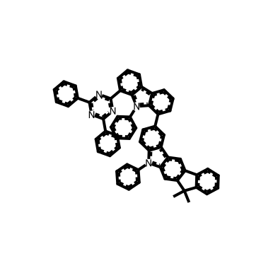 CC1(C)c2ccccc2-c2cc3c4cc(-c5cccc6c7cccc(-c8nc(-c9ccccc9)nc(-c9ccccc9)n8)c7n(-c7ccccc7)c56)ccc4n(-c4ccccc4)c3cc21